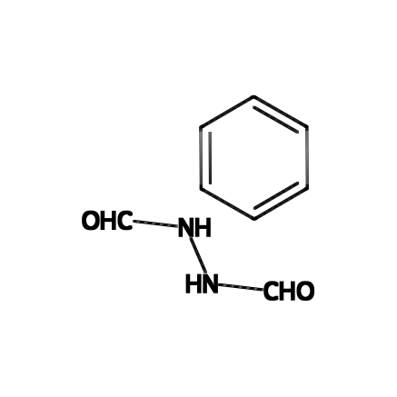 O=CNNC=O.c1ccccc1